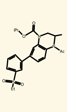 CCS(=O)(=O)c1cccc(-c2ccc3c(c2)N(C(=O)OC(C)C)CC(C)N3C(C)=O)c1